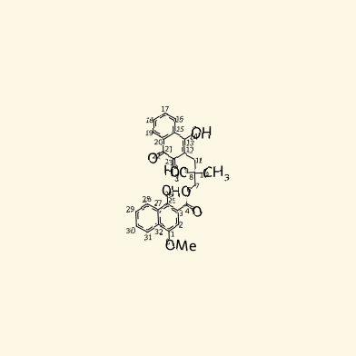 COc1cc(C(=O)OCC(C)(C)CC2=C(O)c3ccccc3C(=O)C2=O)c(O)c2ccccc12